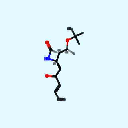 COC=CC(=O)C[C@H]1NC(=O)[C@@H]1[C@@H](C)O[Si](C)(C)C(C)(C)C